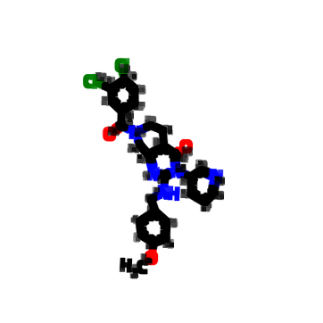 COc1ccc(CNc2nc3c(c(=O)n2-c2cccnc2)CCN(C(=O)c2ccc(Cl)c(Cl)c2)C3)cc1